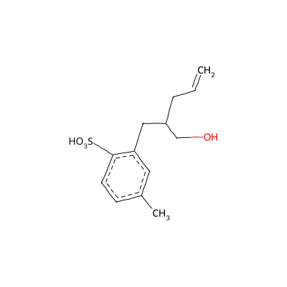 C=CCC(CO)Cc1cc(C)ccc1S(=O)(=O)O